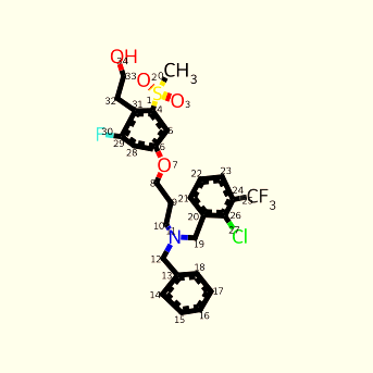 CS(=O)(=O)c1cc(OCCCN(Cc2ccccc2)Cc2cccc(C(F)(F)F)c2Cl)cc(F)c1CCO